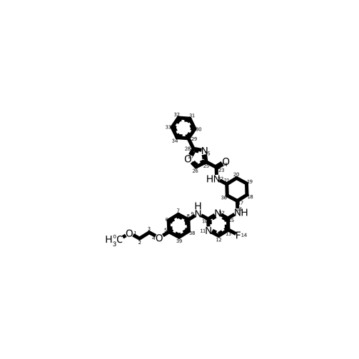 COCCOc1ccc(Nc2ncc(F)c(NC3CCCC(NC(=O)c4coc(-c5ccccc5)n4)C3)n2)cc1